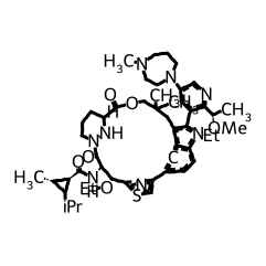 CCO[C@@H]1c2nc(cs2)-c2ccc3c(c2)c(c(-c2cc(N4CCCN(C)CC4)cnc2[C@H](C)OC)n3CC)CC(C)(C)COC(=O)[C@@H]2CCCN(N2)C(=O)[C@H]1NC(=O)[C@H]1C(C(C)C)[C@@H]1C